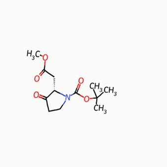 COC(=O)C[C@H]1C(=O)CCN1C(=O)OC(C)(C)C